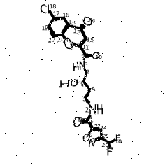 O=C(NCC[C@H](O)CNC(=O)C1CC(=O)c2cc(Cl)ccc2O1)c1cc(C(F)F)no1